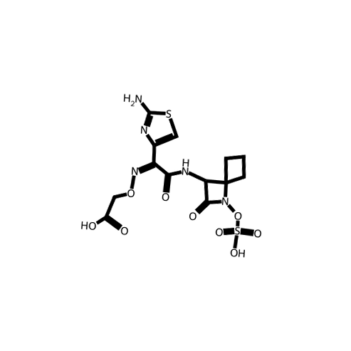 Nc1nc(/C(=N/OCC(=O)O)C(=O)NC2C(=O)N(OS(=O)(=O)O)C23CCC3)cs1